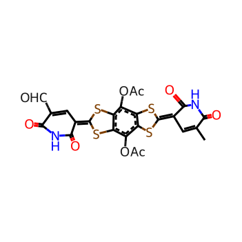 CC(=O)Oc1c2c(c(OC(C)=O)c3c1SC(=C1C=C(C=O)C(=O)NC1=O)S3)SC(=C1C=C(C)C(=O)NC1=O)S2